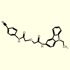 CCn1c2ccccc2c2cc(NC(=O)COCC(=O)Nc3ccc(C#N)cc3)ccc21